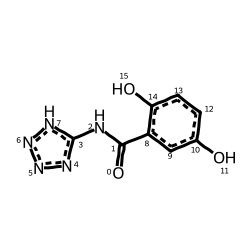 O=C(Nc1nnn[nH]1)c1cc(O)ccc1O